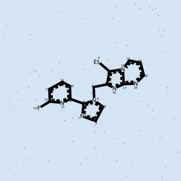 CCc1c(Cn2ccnc2-c2cccc(F)n2)nc2ncccn12